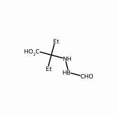 CCC(CC)(NBC=O)C(=O)O